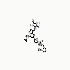 CCN1CCCC1CNC(=O)c1ccc(-c2cc(NC3CC3)n3ncc(/C=C4\NC(=O)NC4=O)c3n2)s1